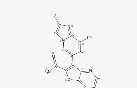 Cc1cn2cc(-c3c(C(N)=O)oc4cccnc34)cc(F)c2n1